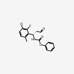 Cc1ccc(Cl)c(F)c1[C@H](CC=O)NC(=O)Oc1ccccc1